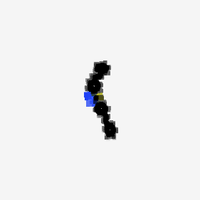 S=C(Nc1ccc(C=Cc2ccccc2)cc1)Nc1ccc(C=Cc2ccccc2)cc1